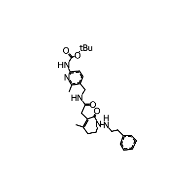 CC1=C(CC(=O)NCc2ccc(NC(=O)OC(C)(C)C)nc2C)C(=O)N(NCCc2ccccc2)CC1